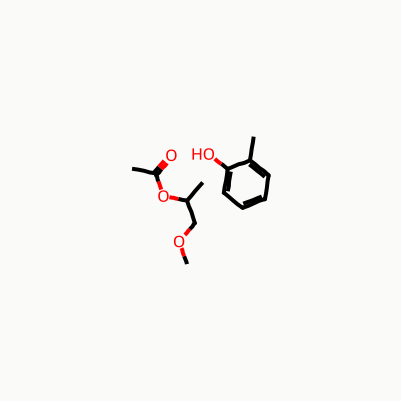 COCC(C)OC(C)=O.Cc1ccccc1O